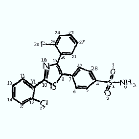 NS(=O)(=O)c1ccc(-c2sc(-c3ccccc3Cl)nc2-c2ccccc2F)cc1